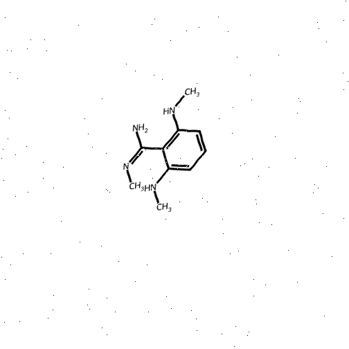 C/N=C(/N)c1c(NC)cccc1NC